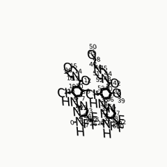 CNc1nc(Nc2cc(C)c(C(=O)N3CCOCC3)cc2Cl)ncc1C(F)(F)F.CNc1nc(Nc2cc(OC)c(C(=O)N3CCN(CCOC)CC3)cc2Cl)ncc1C(F)(F)F